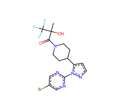 CC(O)(C(=O)N1CCC(c2ccnn2-c2ncc(Br)cn2)CC1)C(F)(F)F